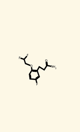 NC(=O)CCc1cc(F)ccc1OCC(F)F